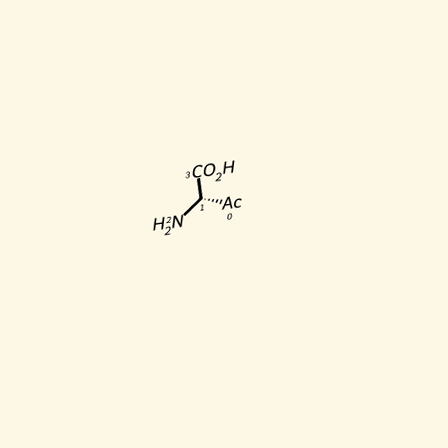 CC(=O)[C@H](N)C(=O)O